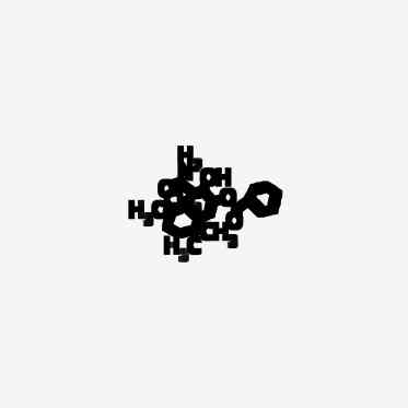 CC1(C)CCC(C)(C)c2c1cc(OC(=O)c1ccccc1)c(O)c2C(N)=O